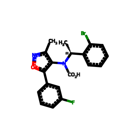 Cc1noc(-c2cccc(F)c2)c1N(C(=O)O)[C@H](C)c1ccccc1Br